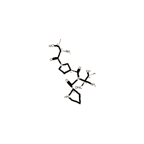 C[C@@H](O)[C@H](N)C(=O)N1CC[C@H](C(=O)N(C(=O)[C@@H]2CCCN2)[C@](N)(C=O)[C@@H](C)O)C1